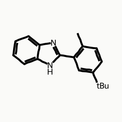 Cc1ccc(C(C)(C)C)cc1-c1nc2ccccc2[nH]1